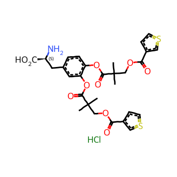 CC(C)(COC(=O)c1ccsc1)C(=O)Oc1ccc(C[C@H](N)C(=O)O)cc1OC(=O)C(C)(C)COC(=O)c1ccsc1.Cl